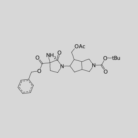 CC(=O)OCC1C2CN(C(=O)OC(C)(C)C)CC2CC1N1CCC(N)(C(=O)OCc2ccccc2)C1=O